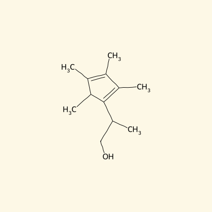 CC1=C(C)C(C)C(C(C)CO)=C1C